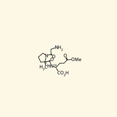 COC(=O)CC[C@H](NC(=O)[C@]1(C)CCCN1C(=O)CN)C(=O)O